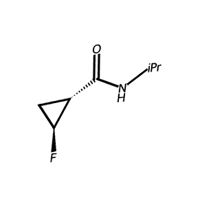 CC(C)NC(=O)[C@H]1C[C@@H]1F